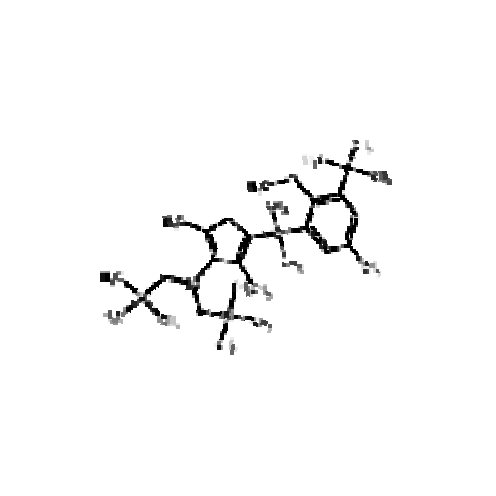 COc1c(C(C)(C)C)cc(C)cc1[Si](C)(C)C1=C(C)[C]([Lu]([CH2][Si](C)(C)C)[CH2][Si](C)(C)C)=C(C)C1